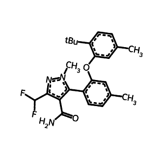 Cc1ccc(-c2c(C(N)=O)c(C(F)F)nn2C)c(Oc2cc(C)ccc2C(C)(C)C)c1